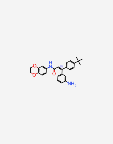 CC(C)(C)c1ccc(/C(=C/C(=O)Nc2ccc3c(c2)OCCO3)c2cccc(N)c2)cc1